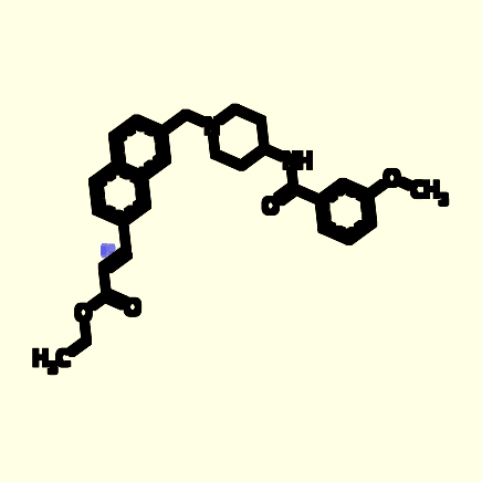 CCOC(=O)/C=C/c1ccc2ccc(CN3CCC(NC(=O)c4cccc(OC)c4)CC3)cc2c1